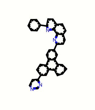 c1ccc(-c2ccc3ccc4ccc(-c5ccc6c7ccc(-c8ccncn8)cc7c7ccccc7c6c5)nc4c3n2)cc1